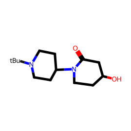 CC(C)(C)N1CCC(N2CCC(O)CC2=O)CC1